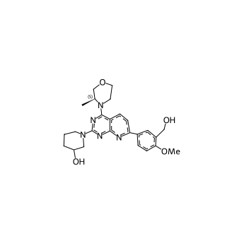 COc1ccc(-c2ccc3c(N4CCOC[C@@H]4C)nc(N4CCCC(O)C4)nc3n2)cc1CO